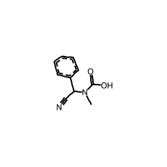 CN(C(=O)O)C(C#N)c1ccccc1